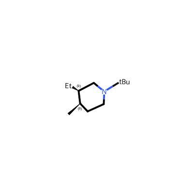 CC[C@H]1CN(C(C)(C)C)CC[C@H]1C